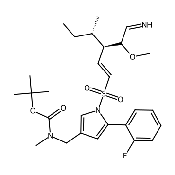 CC[C@H](C)[C@H](/C=C/S(=O)(=O)n1cc(CN(C)C(=O)OC(C)(C)C)cc1-c1ccccc1F)C(C=N)OC